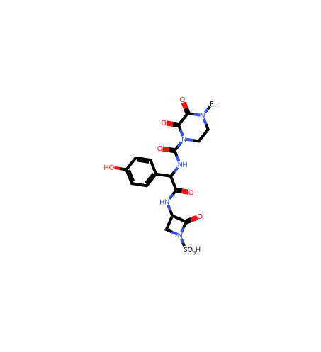 CCN1CCN(C(=O)NC(C(=O)NC2CN(S(=O)(=O)O)C2=O)c2ccc(O)cc2)C(=O)C1=O